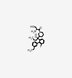 [CH2]CCC(O)(c1cccc(F)c1-c1cccc(CC)c1)C1CCCN(C(=O)[C@@H](N)CO)C1